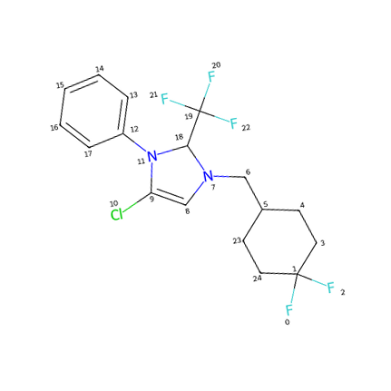 FC1(F)CCC(CN2C=C(Cl)N(c3ccccc3)C2C(F)(F)F)CC1